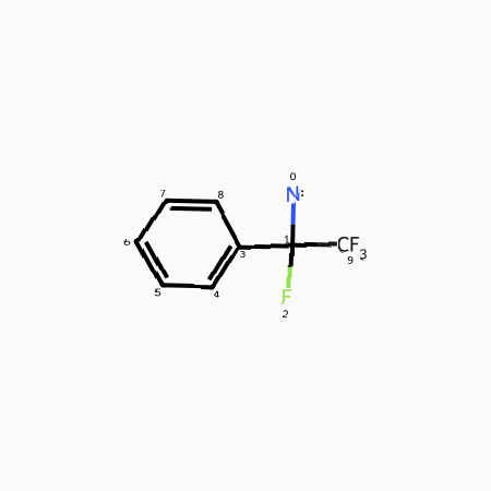 [N]C(F)(c1ccccc1)C(F)(F)F